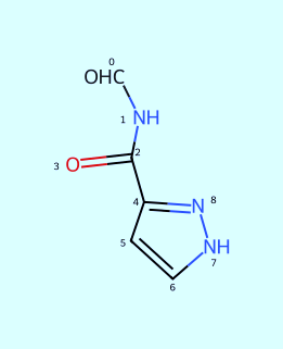 O=CNC(=O)c1cc[nH]n1